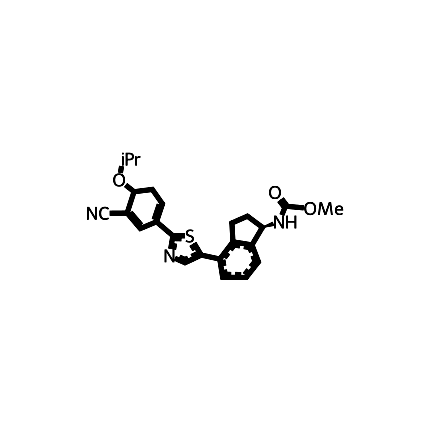 COC(=O)N[C@@H]1CCc2c(-c3cnc(C4=CCC(OC(C)C)C(C#N)=C4)s3)cccc21